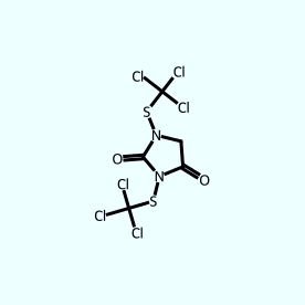 O=C1CN(SC(Cl)(Cl)Cl)C(=O)N1SC(Cl)(Cl)Cl